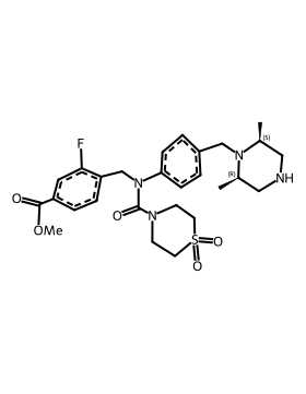 COC(=O)c1ccc(CN(C(=O)N2CCS(=O)(=O)CC2)c2ccc(CN3[C@H](C)CNC[C@@H]3C)cc2)c(F)c1